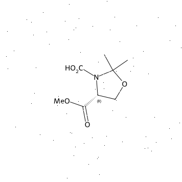 COC(=O)[C@H]1COC(C)(C)N1C(=O)O